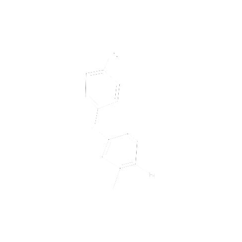 Cc1cc(Oc2ccc(C#N)cc2)ccc1Br